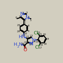 Cc1ncn(C)c1-c1ccc(Nc2cn(-c3c(Cl)cccc3Cl)nc2C(N)=O)cc1